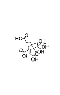 CCCC(C=CC(=O)O)(C=CC(=O)O)C(C=CC(=O)O)(CO)C(CO)CO